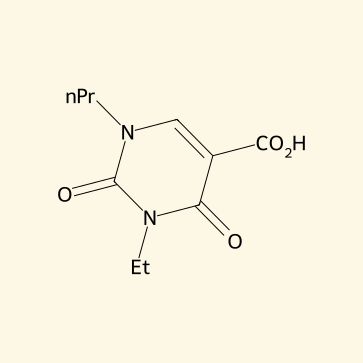 CCCn1cc(C(=O)O)c(=O)n(CC)c1=O